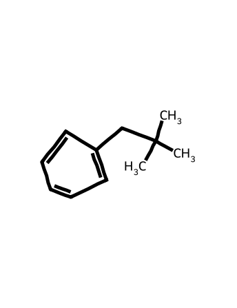 CC(C)(C)Cc1ccccc1